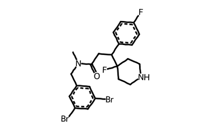 CN(Cc1cc(Br)cc(Br)c1)C(=O)CC(c1ccc(F)cc1)C1(F)CCNCC1